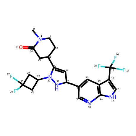 CN1CCC(C2=CC(c3cnc4[nH]cc(C(F)(F)F)c4c3)NN2C2CC(F)(F)C2)CC1=O